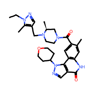 CCn1ncc(CN2CCN(C(=O)c3cc4c(cc3C)[nH]c(=O)c3cnn(C5CCOCC5)c34)C[C@@H]2C)c1C